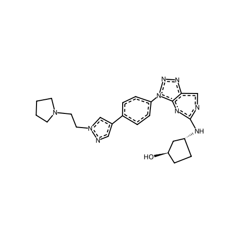 O[C@@H]1CC[C@@H](Nc2ncc3nnn(-c4ccc(-c5cnn(CCN6CCCC6)c5)cc4)c3n2)C1